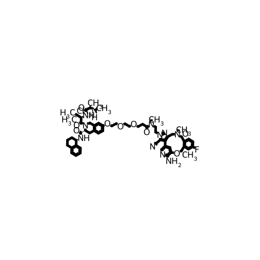 CN[C@H](C)C(=O)N[C@@H](C(=O)N1Cc2cc(OCCOCCOCCC(=O)N(C)CCn3nc4c(c3C#N)-c3cnc(N)c(c3)O[C@H](C)c3cc(F)ccc3C(=O)N(C)C4)ccc2C[C@@H]1C(=O)N[C@H]1CCCc2ccccc21)C(C)(C)C